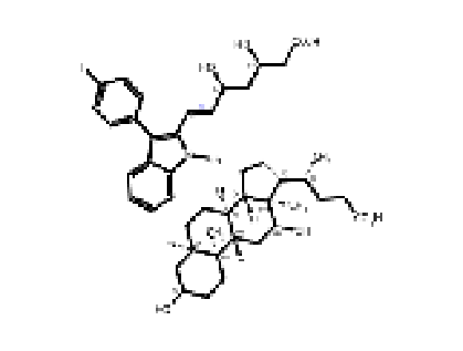 CC(C)n1c(/C=C/[C@@H](O)C[C@@H](O)CC(=O)O)c(-c2ccc(F)cc2)c2ccccc21.C[C@H](CCC(=O)O)[C@H]1CC[C@H]2[C@@H]3CC[C@@H]4C[C@H](O)CC[C@]4(C)[C@H]3C[C@H](O)[C@]12C